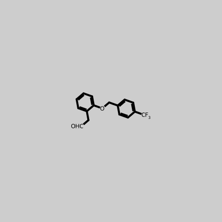 O=CCc1ccccc1OCc1ccc(C(F)(F)F)cc1